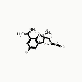 CC(N)c1cc(F)cc2c1O[C@@](C)(CN=[N+]=[N-])C2